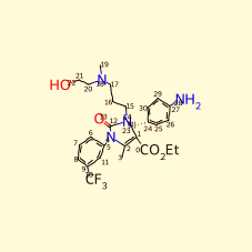 CCOC(=O)C1=C(C)N(c2cccc(C(F)(F)F)c2)C(=O)N(CCCN(C)CCO)[C@@H]1c1ccc(N)cc1